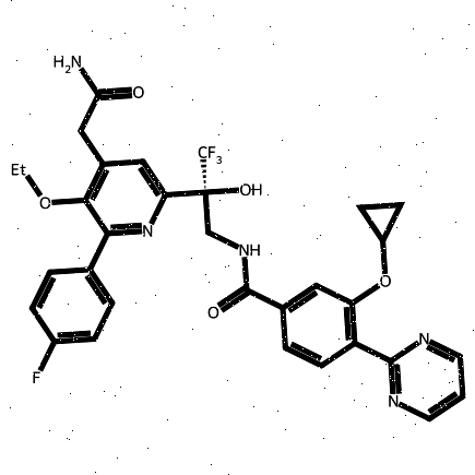 CCOc1c(CC(N)=O)cc([C@@](O)(CNC(=O)c2ccc(-c3ncccn3)c(OC3CC3)c2)C(F)(F)F)nc1-c1ccc(F)cc1